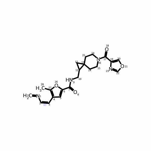 C=N/C=C\c1cc(C(=O)NCC2CC23CCN(C(=O)c2cocn2)CC3)oc1C